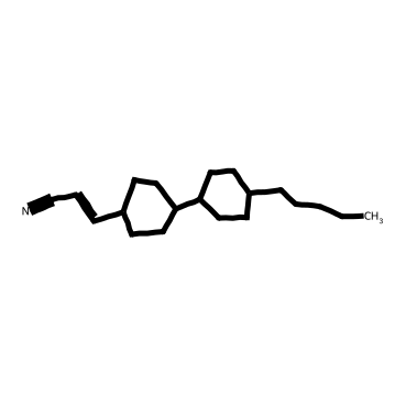 CCCCCC1CCC(C2CCC(C=CC#N)CC2)CC1